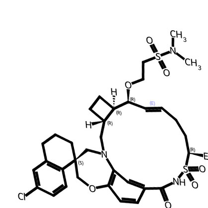 CC[C@@H]1CC/C=C/[C@H](OCCS(=O)(=O)N(C)C)[C@@H]2CC[C@H]2CN2C[C@@]3(CCCc4cc(Cl)ccc43)COc3ccc(cc32)C(=O)NS1(=O)=O